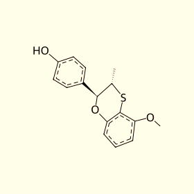 COc1cccc2c1S[C@@H](C)[C@H](c1ccc(O)cc1)O2